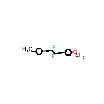 CCc1ccc(C#C/C(F)=C(\F)C#Cc2ccc(OC)cc2)cc1